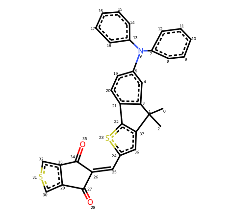 CC1(C)c2cc(N(c3ccccc3)c3ccccc3)ccc2-c2sc(C=C3C(=O)c4cscc4C3=O)cc21